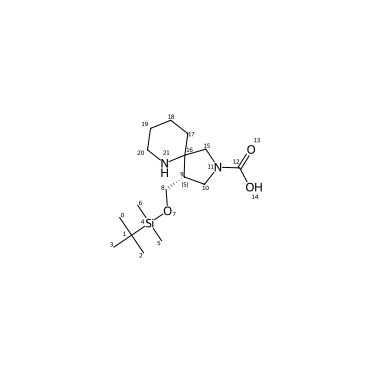 CC(C)(C)[Si](C)(C)OC[C@H]1CN(C(=O)O)CC12CCCCN2